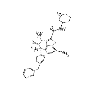 Nc1ccc2c3c(c(C(=O)NC4CCCNC4)sc13)C(N)C(=O)C2(N)c1ccc(Cc2ccccc2)cc1